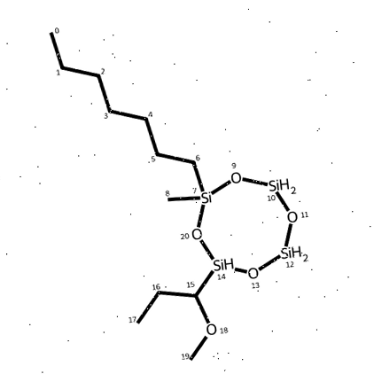 CCCCCCC[Si]1(C)O[SiH2]O[SiH2]O[SiH](C(CC)OC)O1